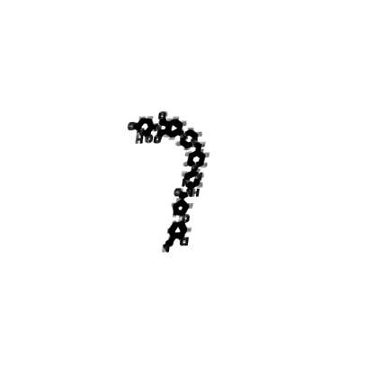 N#Cc1ccc(O[C@@H]2CC[C@@H](C(=O)Nc3cnc(N4CCC(CN5CCN(c6ccc7c(c6)C(=O)N(C6CCC(=O)NC6=O)C7=O)CC5)CC4)cn3)C2)cc1Cl